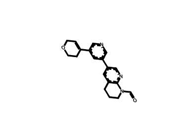 O=CN1CCCc2cc(-c3cncc(C4=CCOCC4)c3)cnc21